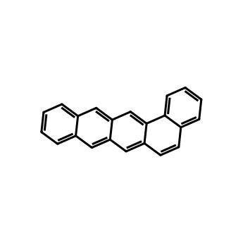 c1ccc2cc3cc4c(ccc5ccccc54)cc3cc2c1